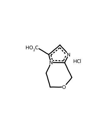 Cl.O=C(O)c1cnc2n1CCOC2